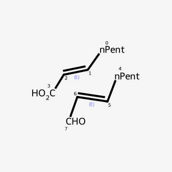 CCCCC/C=C/C(=O)O.CCCCC/C=C/C=O